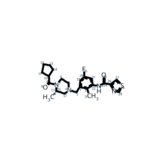 Cc1c(CN2CCN(C(=O)C3CCCC3)[C@@H](C)C2)cc(F)cc1NC(=O)c1cscn1